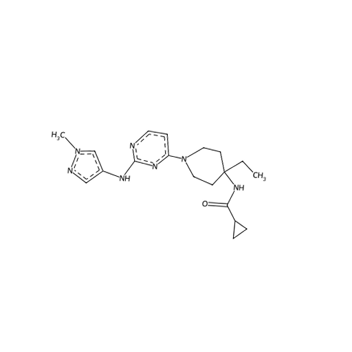 CCC1(NC(=O)C2CC2)CCN(c2ccnc(Nc3cnn(C)c3)n2)CC1